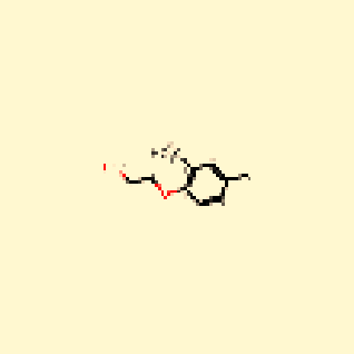 Cc1ccc(OCCO)c(C(=O)O)c1